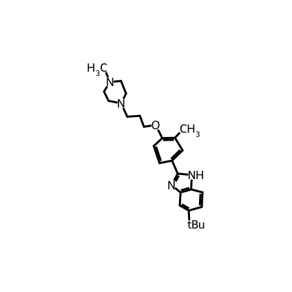 Cc1cc(-c2nc3cc(C(C)(C)C)ccc3[nH]2)ccc1OCCCN1CCN(C)CC1